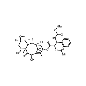 CCCC(=O)O[C@@H](C(=O)O[C@H]1C[C@@]2(O)[C@@H](C)C3[C@]4(C)CO[C@@H]4C[C@H](O)[C@@]3(C)C(=O)[C@H](O)C(=C1C)C2(C)C)[C@@H](NC(=O)OC(C)(C)C)c1ccccc1